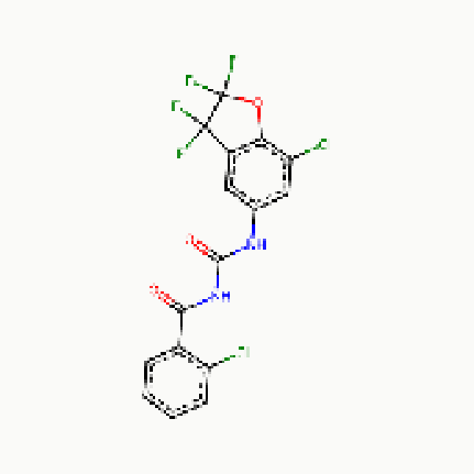 O=C(NC(=O)c1ccccc1Cl)Nc1cc(Cl)c2c(c1)C(F)(F)C(F)(F)O2